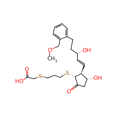 COCc1ccccc1CC[C@H](O)C=C[C@H]1[C@H](O)CC(=O)[C@@H]1SCCCSCC(=O)O